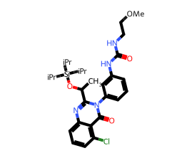 COCCNC(=O)Nc1cccc(-n2c(C(C)O[Si](C(C)C)(C(C)C)C(C)C)nc3cccc(Cl)c3c2=O)c1